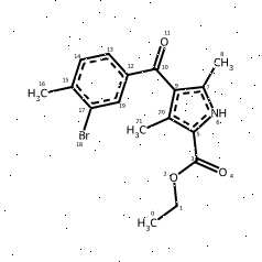 CCOC(=O)c1[nH]c(C)c(C(=O)c2ccc(C)c(Br)c2)c1C